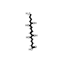 CCCCCC(O)C(O)C=CC=CC(O)C(O)CCCCC(=O)O